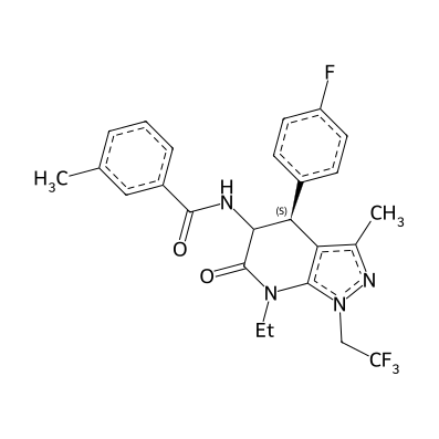 CCN1C(=O)C(NC(=O)c2cccc(C)c2)[C@@H](c2ccc(F)cc2)c2c(C)nn(CC(F)(F)F)c21